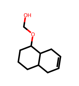 OCOC1CCCC2CC=CCC21